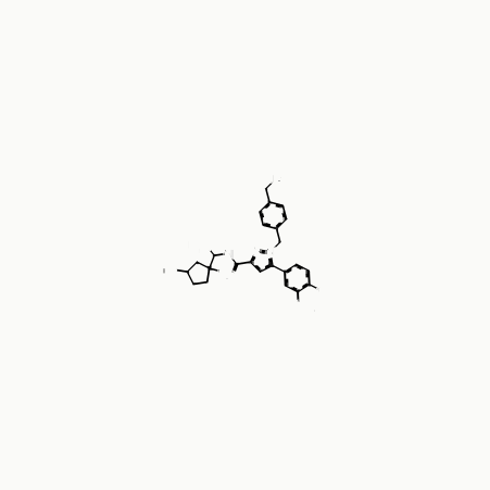 Cc1cc(-c2cc(C(=O)NC(C)C3(C)CCC(C(C)C)C3)nn2Cc2ccc(CBr)cc2)ccc1Cl